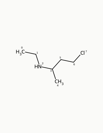 CCNC(C)CCCl